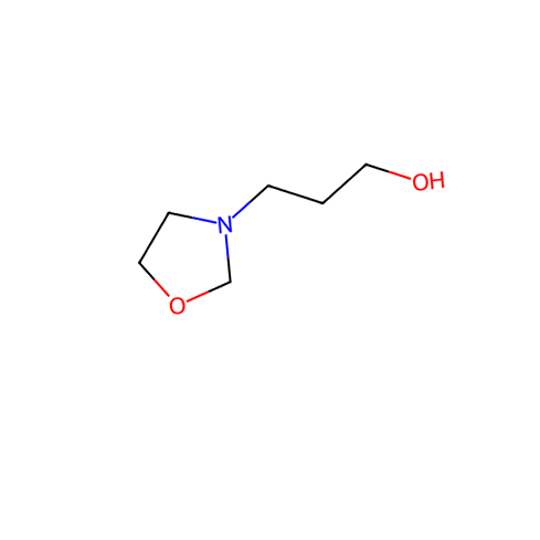 OCCCN1CCOC1